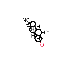 CCC1C[C@@H]2[C@H](CC[C@@]3(C)[C@H]2CC[C@]3(C)C#N)[C@H]2CCC(=O)C=C12